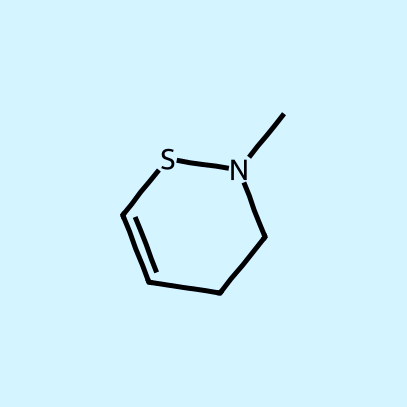 CN1CCC=CS1